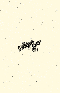 COc1cc(C(=O)NC[C@](O)(c2cc(C(C)(C)O)c(F)c(-c3ccc(F)cc3)n2)C2CC2)cc2cn(C(F)F)nc12